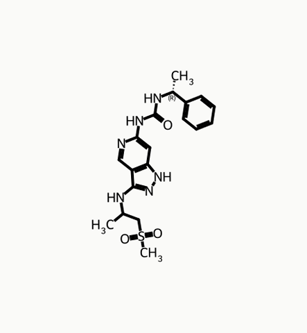 CC(CS(C)(=O)=O)Nc1n[nH]c2cc(NC(=O)N[C@H](C)c3ccccc3)ncc12